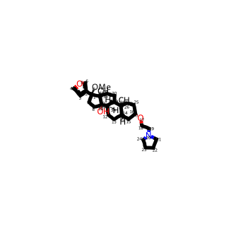 CO[C@]1(c2ccoc2)CC[C@]2(O)[C@@H]3CC[C@@H]4C[C@@H](OCCN5CCCC5)CC[C@]4(C)[C@H]3CC[C@]12C